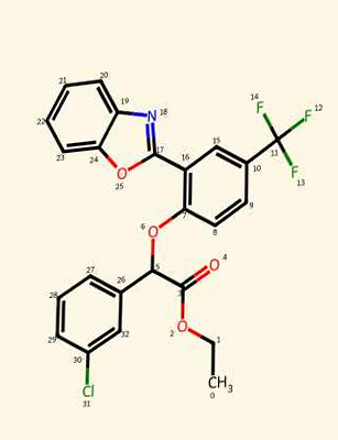 CCOC(=O)C(Oc1ccc(C(F)(F)F)cc1-c1nc2ccccc2o1)c1cccc(Cl)c1